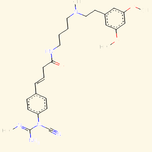 CN=C(N)N(C#N)c1ccc(/C=C/CC(=O)NCCCCN(C)CCc2cc(OC)cc(OC)c2)cc1